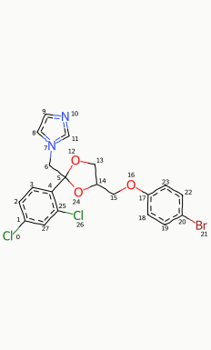 Clc1ccc(C2(Cn3ccnc3)OCC(COc3ccc(Br)cc3)O2)c(Cl)c1